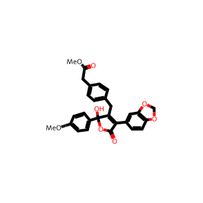 COC(=O)Cc1ccc(CC2=C(c3ccc4c(c3)OCO4)C(=O)OC2(O)c2ccc(OC)cc2)cc1